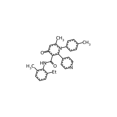 CCc1cccc(C)c1NC(=O)c1c(-c2ccncc2)n(-c2ccc(C)cc2)c(C)cc1=O